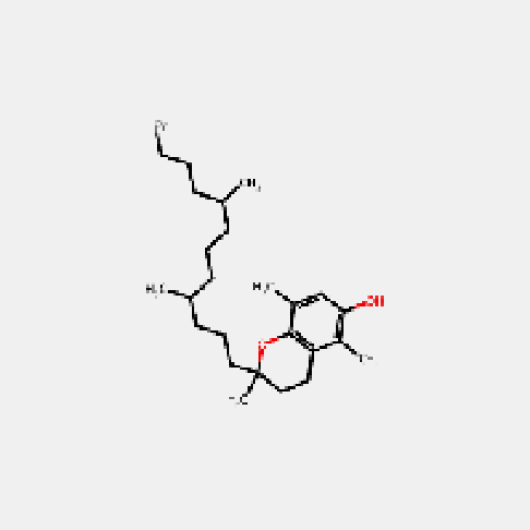 Cc1cc(O)c(C)c2c1OC(C)(CCCC(C)CCCC(C)CCCC(C)C)CC2